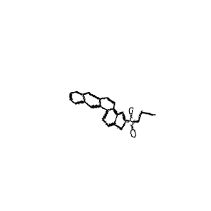 CCCS(=O)(=O)C1=Cc2c(ccc3c2ccc2cc4ccccc4cc23)C1